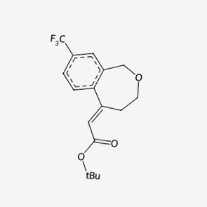 CC(C)(C)OC(=O)/C=C1\CCOCc2cc(C(F)(F)F)ccc21